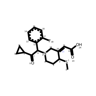 CSC1CCN(C(C(=O)C2CC2)c2ccccc2F)C/C1=C/C(=O)O